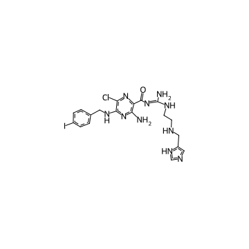 N/C(=N\C(=O)c1nc(Cl)c(NCc2ccc(I)cc2)nc1N)NCCNCc1cnc[nH]1